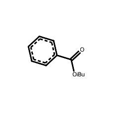 [CH2]C(C)COC(=O)c1ccccc1